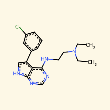 CCN(CC)CCNc1ncnc2[nH]cc(-c3cccc(Cl)c3)c12